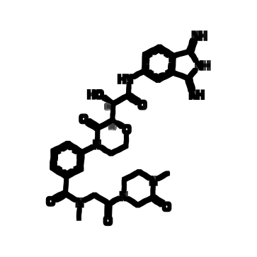 CN1CCN(C(=O)CN(C)C(=O)c2cccc(N3CCO[C@H]([C@@H](O)C(=O)Nc4ccc5c(c4)C(=N)NC5=N)C3=O)c2)CC1=O